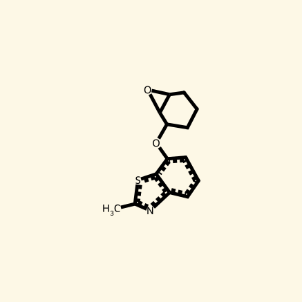 Cc1nc2cccc(OC3CCCC4OC34)c2s1